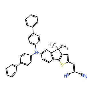 CC1(C)c2cc(N(c3ccc(-c4ccccc4)cc3)c3ccc(-c4ccccc4)cc3)ccc2-c2sc(C=C(C#N)C#N)cc21